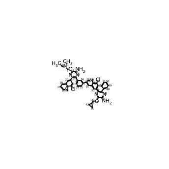 CCN(CC)COc1nc(-c2cc(Cl)c3ncccc3c2)c(-c2cccc(-c3cnc4c(Cl)cc(-c5nc(OCC6CC6)c(N)nc5-c5ccccc5)cc4c3)c2)nc1N